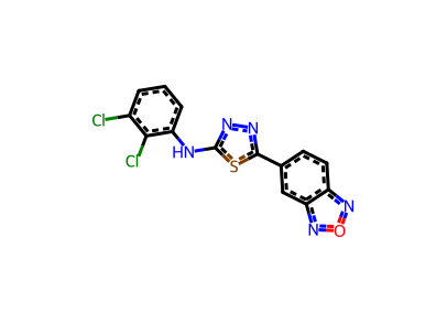 Clc1cccc(Nc2nnc(-c3ccc4nonc4c3)s2)c1Cl